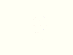 CNc1cc(F)cc2cc(CCl)cnc12